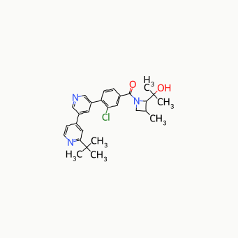 CC1CN(C(=O)c2ccc(-c3cncc(-c4ccnc(C(C)(C)C)c4)c3)c(Cl)c2)C1C(C)(C)O